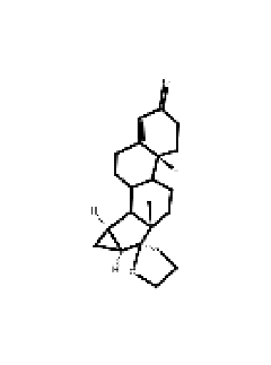 C[C@]12CCC3C(CCC4=CC(=O)CC[C@@H]43)C1[C@@H]1C[C@@H]1[C@@]21CCCO1